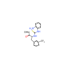 COC(=O)C(Cc1cccc(C(F)(F)F)c1)NC(=S)Nc1ccccc1N